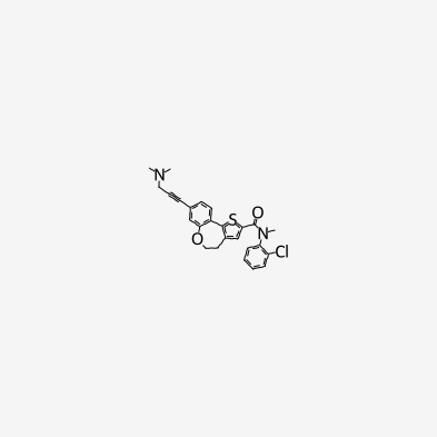 CN(C)CC#Cc1ccc2c(c1)OCCc1cc(C(=O)N(C)c3ccccc3Cl)sc1-2